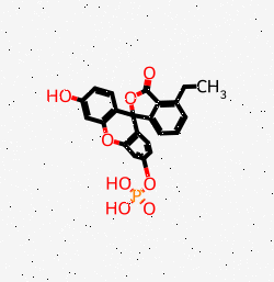 CCc1cccc2c1C(=O)OC21c2ccc(O)cc2Oc2cc(OP(=O)(O)O)ccc21